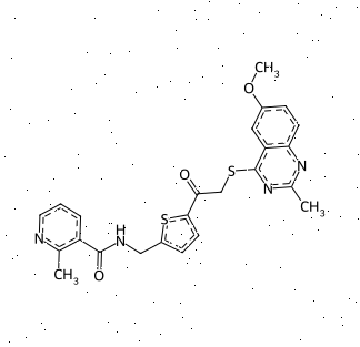 COc1ccc2nc(C)nc(SCC(=O)c3ccc(CNC(=O)c4cccnc4C)s3)c2c1